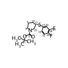 CC(C)(C)OC(=O)N1CCC[C@@H](Sc2ccc(F)c(F)c2)C1